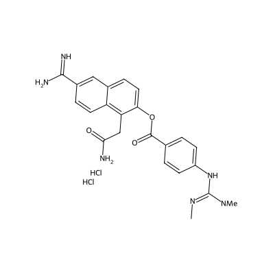 CN=C(NC)Nc1ccc(C(=O)Oc2ccc3cc(C(=N)N)ccc3c2CC(N)=O)cc1.Cl.Cl